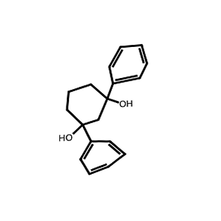 OC1(c2ccccc2)CCCC(O)(c2ccccc2)C1